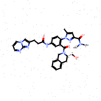 CCCCN(CCCC)C(=O)c1cc(C)n(-c2ccc(NC(=O)CCc3cn4cccnc4n3)cc2C(=O)N2Cc3ccccc3C[C@H]2CO)n1